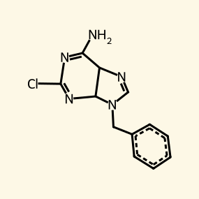 NC1=NC(Cl)=NC2C1N=CN2Cc1ccccc1